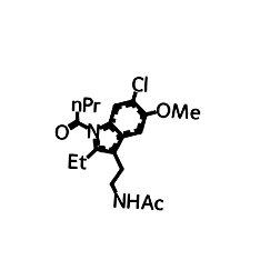 CCCC(=O)n1c(CC)c(CCNC(C)=O)c2cc(OC)c(Cl)cc21